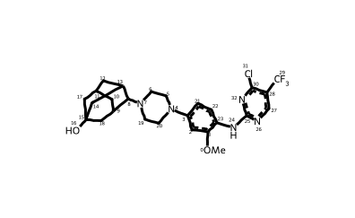 COc1cc(N2CCN(C3C4CC5CC3CC(O)(C5)C4)CC2)ccc1Nc1ncc(C(F)(F)F)c(Cl)n1